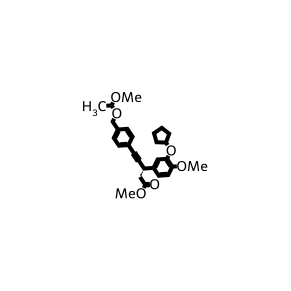 COC(=O)C[C@H](C#Cc1ccc(COC(C)OC)cc1)c1ccc(OC)c(OC2CCCC2)c1